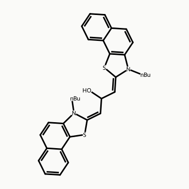 CCCCN1C(=CC(O)C=C2Sc3c(ccc4ccccc34)N2CCCC)Sc2c1ccc1ccccc21